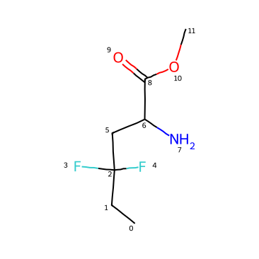 CCC(F)(F)CC(N)C(=O)OC